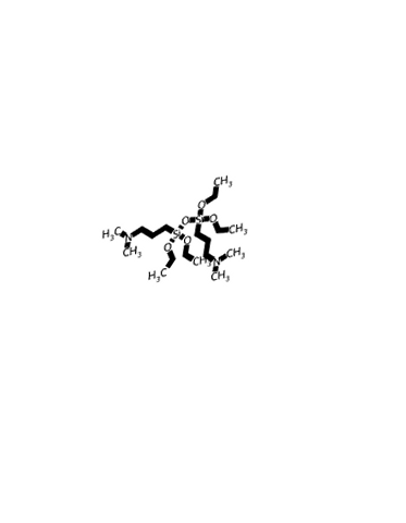 CCO[Si](CCCN(C)C)(OCC)O[Si](CCCN(C)C)(OCC)OCC